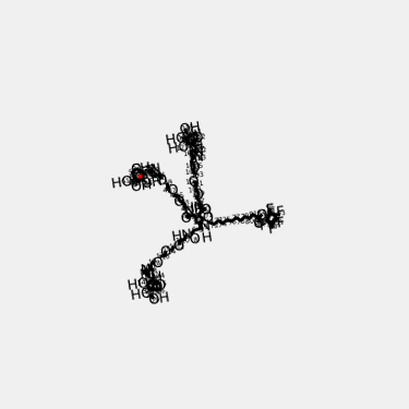 O=C(CCC(CCC(=O)NCCOCCOCCOCc1cn([C@H]2[C@H]3OC[C@](CO)(O3)[C@H](O)[C@@H]2O)nn1)(CCC(=O)NCCOCCOCCOCc1cn([C@H]2[C@H]3OC[C@](CO)(O3)[C@H](O)[C@@H]2O)nn1)NC(=O)CCCCCCCCCCC(=O)Oc1c(F)c(F)c(F)c(F)c1F)NCCOCCOCCOCc1cn([C@H]2[C@@H]3OC[C@](CO)(O3)[C@H](O)[C@@H]2O)nn1